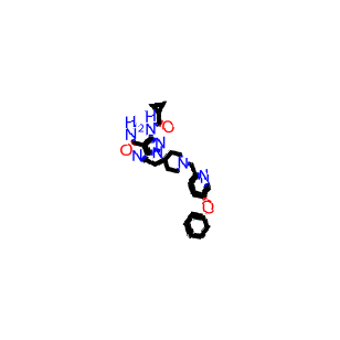 N#CCC1(n2cc(C(N)=O)c(NC(=O)C3CC3)n2)CCN(Cc2ccc(OC3=CC=CCC3)cn2)CC1